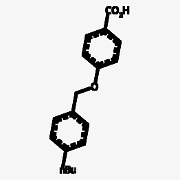 CCCCc1ccc(COc2ccc(C(=O)O)cc2)cc1